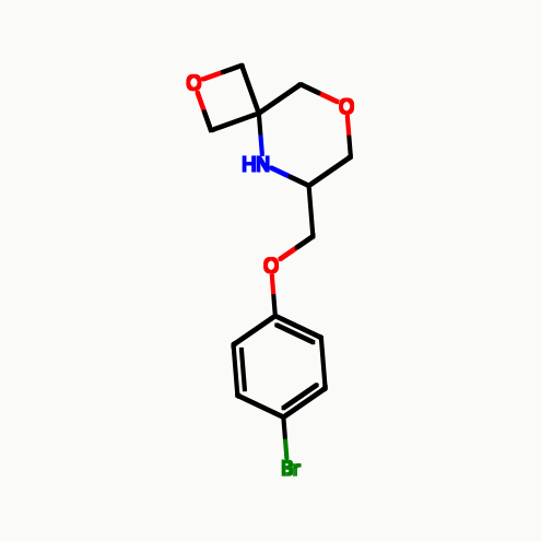 Brc1ccc(OCC2COCC3(COC3)N2)cc1